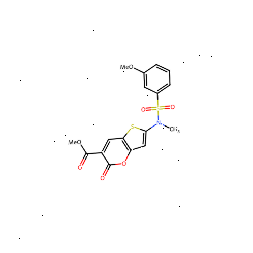 COC(=O)c1cc2sc(N(C)S(=O)(=O)c3cccc(OC)c3)cc2oc1=O